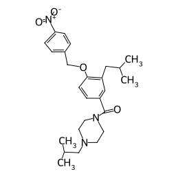 CC(C)Cc1cc(C(=O)N2CCN(CC(C)C)CC2)ccc1OCc1ccc([N+](=O)[O-])cc1